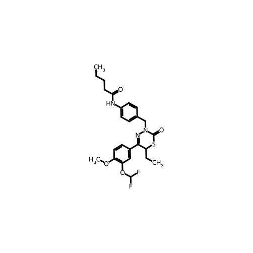 CCCCC(=O)Nc1ccc(CN2N=C(c3ccc(OC)c(OC(F)F)c3)C(CC)SC2=O)cc1